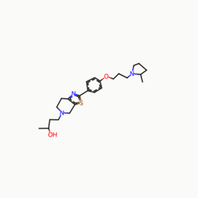 CC(O)CCN1CCc2nc(-c3ccc(OCCCN4CCCC4C)cc3)sc2C1